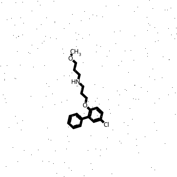 COCCCNCCCOc1ccc(Cl)cc1-c1ccccc1